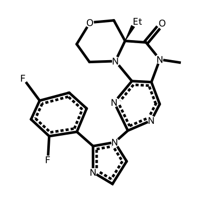 CC[C@]12COCCN1c1nc(-n3ccnc3-c3ccc(F)cc3F)ncc1N(C)C2=O